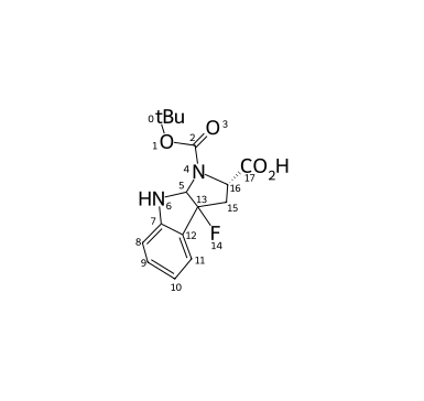 CC(C)(C)OC(=O)N1C2Nc3ccccc3C2(F)C[C@H]1C(=O)O